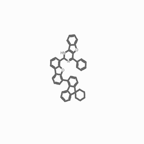 c1ccc(C2=NC(c3cccc4c3oc3c(-c5cccc6c5-c5ccccc5C65CCCCC5)cccc34)Nc3c2oc2ccccc32)cc1